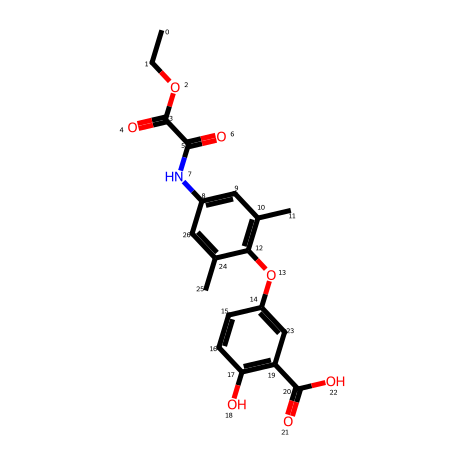 CCOC(=O)C(=O)Nc1cc(C)c(Oc2ccc(O)c(C(=O)O)c2)c(C)c1